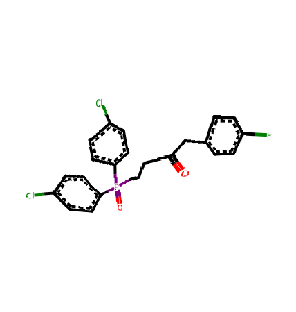 O=C(CCP(=O)(c1ccc(Cl)cc1)c1ccc(Cl)cc1)Cc1ccc(F)cc1